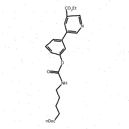 CCCCCCCCCCCCCCNC(=O)Oc1cccc(-c2cncc(C(=O)OCC)c2)c1